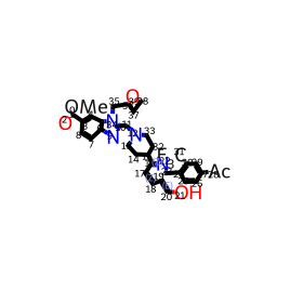 COC(=O)C1=CC2C(C=C1)N=C(CN1CCC(C(/C=C\C=C\O)=N/Cc3ccc(C(C)=O)cc3C(F)(F)F)CC1)N2CC1CCO1